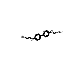 CCCCCCCCCCCOc1ccc(-c2ccc(OCCC(C)CC)cc2)nc1